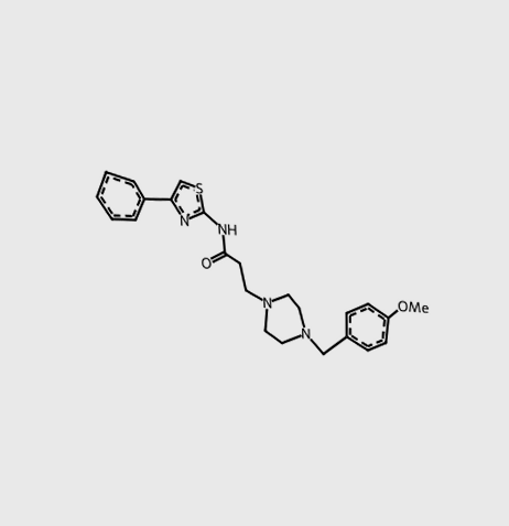 COc1ccc(CN2CCN(CCC(=O)Nc3nc(-c4ccccc4)cs3)CC2)cc1